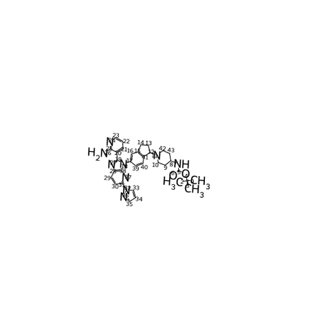 CC(C)(C)OC(=O)NC1CCN(C2CCc3cc(-n4c(-c5cccnc5N)nc5ccc(-n6cccn6)nc54)ccc32)CC1